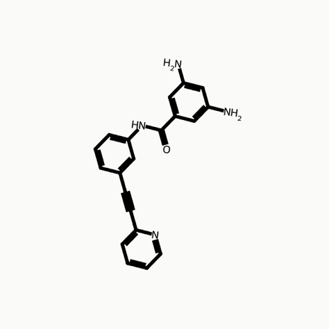 Nc1cc(N)cc(C(=O)Nc2cccc(C#Cc3ccccn3)c2)c1